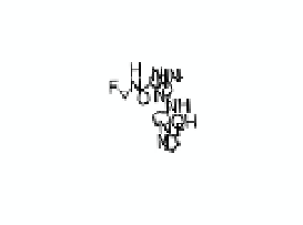 CNc1cc(NC2=CC=CN(c3ncccc3F)C2O)nc2c(C(=O)NC3C[C@H]3F)cnn12